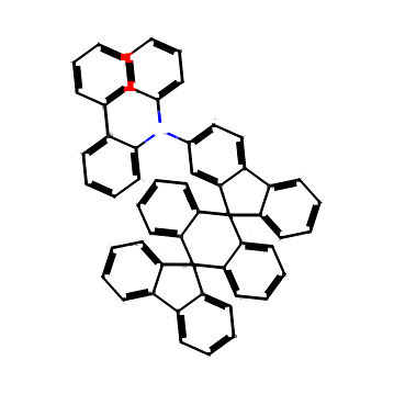 c1ccc(-c2ccccc2N(c2ccccc2)c2ccc3c(c2)C2(c4ccccc4-3)c3ccccc3C3(c4ccccc4-c4ccccc43)c3ccccc32)cc1